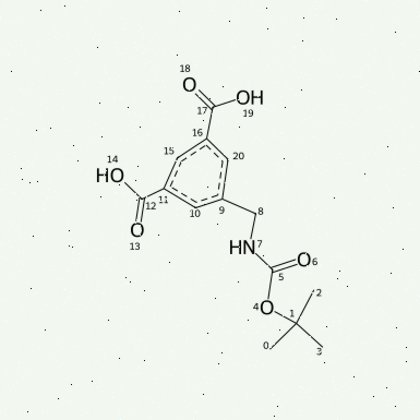 CC(C)(C)OC(=O)NCc1cc(C(=O)O)cc(C(=O)O)c1